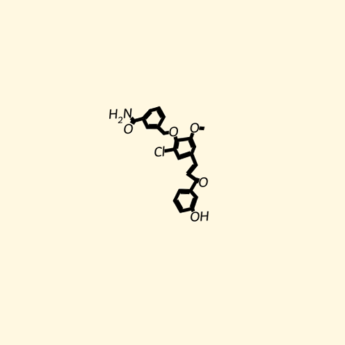 COc1cc(/C=C/C(=O)c2cccc(O)c2)cc(Cl)c1OCc1cccc(C(N)=O)c1